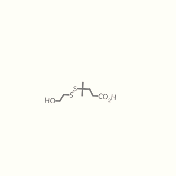 CC(C)(CCC(=O)O)SSCCO